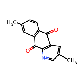 Cc1ccc2c(c1)C(=O)c1ncc(C)cc1C2=O